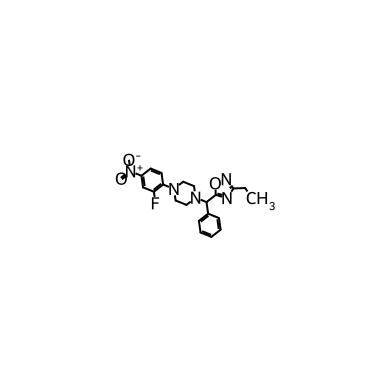 CCc1noc(C(c2ccccc2)N2CCN(c3ccc([N+](=O)[O-])cc3F)CC2)n1